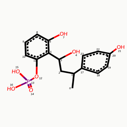 CC(CC(O)c1c(O)cccc1OP(=O)(O)O)c1ccc(O)cc1